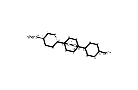 CCCCC[C@H]1CC[C@H](C23CCC(C4CCC(CCC)CC4)(CC2)CC3)CC1